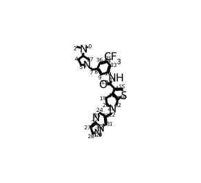 CN(C)C1CCN(Cc2cc(NC(=O)c3csc4c3CCN(Cc3cnc5ccnn5c3)C4)cc(C(F)(F)F)c2)C1